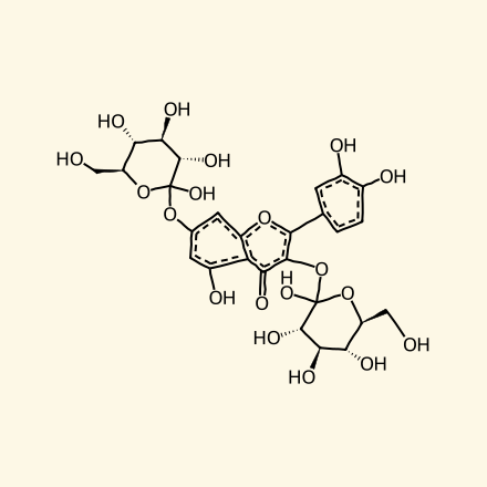 O=c1c(OC2(O)O[C@@H](CO)[C@H](O)[C@@H](O)[C@@H]2O)c(-c2ccc(O)c(O)c2)oc2cc(OC3(O)O[C@@H](CO)[C@H](O)[C@@H](O)[C@@H]3O)cc(O)c12